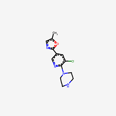 Cc1cnc(-c2cnc(N3CCNCC3)c(Cl)c2)o1